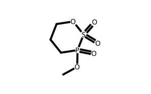 COP1(=O)CCCOS1(=O)=O